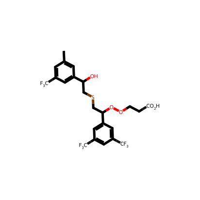 Cc1cc(C(O)CSCC(OOCCC(=O)O)c2cc(C(F)(F)F)cc(C(F)(F)F)c2)cc(C(F)(F)F)c1